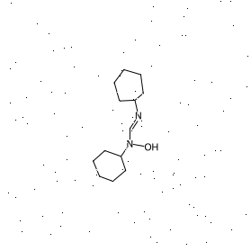 ON(/C=N/C1CCCCC1)C1CCCCC1